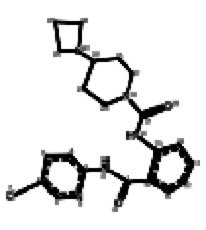 O=C(Nc1ccc(Cl)cn1)c1ccccc1NC(=O)N1CCC(N2CCC2)CC1